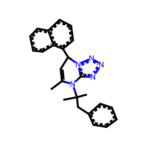 CC1=CC(c2cccc3ccccc23)n2nnnc2N1C(C)(C)Cc1ccccc1